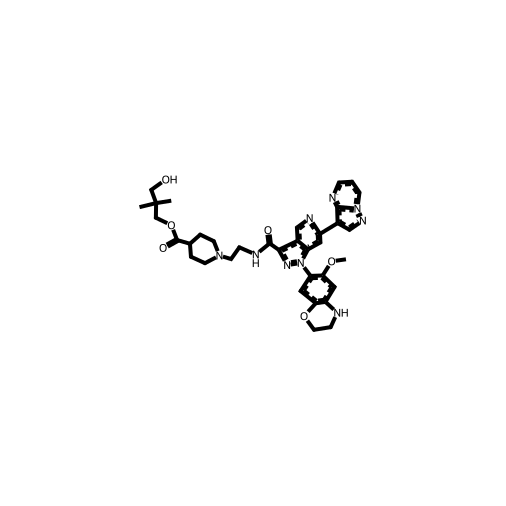 COc1cc2c(cc1-n1nc(C(=O)NCCN3CCC(C(=O)OCC(C)(C)CO)CC3)c3cnc(-c4cnn5cccnc45)cc31)OCCN2